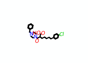 O=C(O)C(CCCCCc1ccc(Cl)cc1)C(=O)N1CCN(Cc2ccccc2)CC1